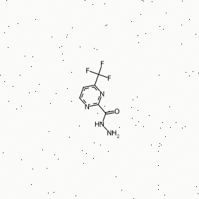 NNC(=O)c1nccc(C(F)(F)F)n1